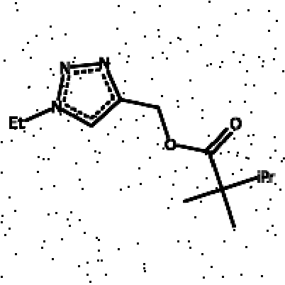 CCn1cc(COC(=O)C(C)(C)C(C)C)nn1